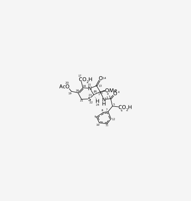 CO[C@]1(NC(=O)C(C(=O)O)c2ccccc2)C(=O)N2C(C(=O)O)=C(COC(C)=O)CS[C@@H]21